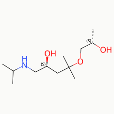 CC(C)NC[C@@H](O)CC(C)(C)OC[C@H](C)O